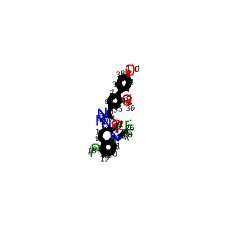 COc1ccc(-c2ccc(-c3cn(C4CCc5c(F)cccc5N(CC(F)(F)F)C4=O)nn3)cc2OC)cc1